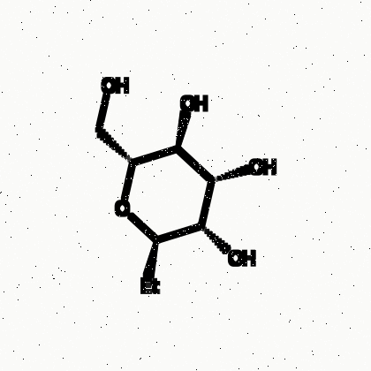 CC[C@H]1O[C@H](CO)[C@@H](O)[C@H](O)[C@@H]1O